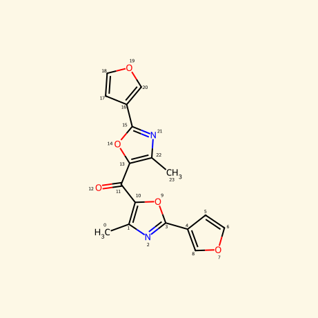 Cc1nc(-c2ccoc2)oc1C(=O)c1oc(-c2ccoc2)nc1C